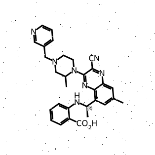 Cc1cc([C@@H](C)Nc2ccccc2C(=O)O)c2nc(N3CCN(Cc4cccnc4)CC3C)c(C#N)nc2c1